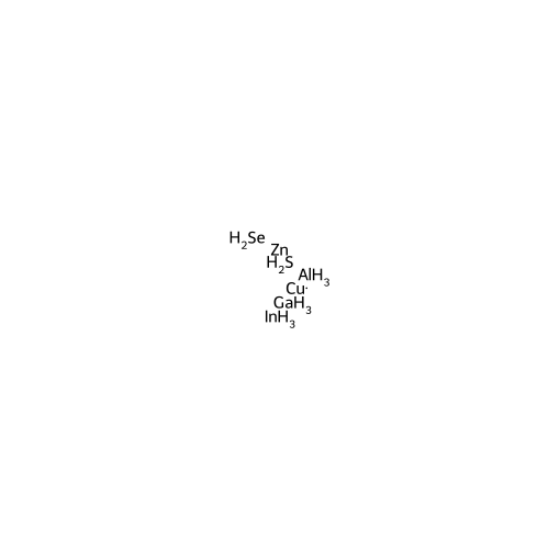 S.[AlH3].[Cu].[GaH3].[InH3].[SeH2].[Zn]